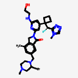 CC(C)C1CN(C)CCN1Cc1cc2c(c(C(F)(F)F)c1)CN(c1cc(C3([C@@H](F)c4nncn4C)CCC3)cc(NCCO)n1)C2=O